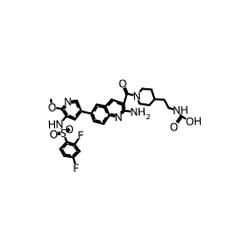 COc1ncc(-c2ccc3nc(N)c(C(=O)N4CCC(CCNC(=O)O)CC4)cc3c2)cc1NS(=O)(=O)c1ccc(F)cc1F